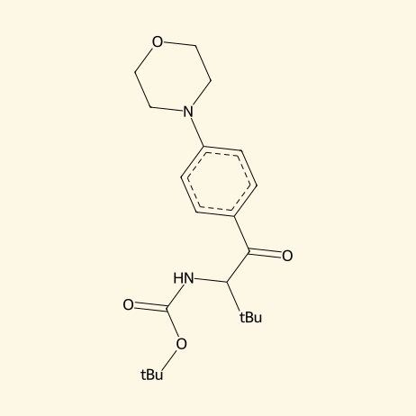 CC(C)(C)OC(=O)NC(C(=O)c1ccc(N2CCOCC2)cc1)C(C)(C)C